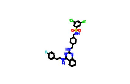 O=S(=O)(NCC1CCC(CNc2nc(NCCc3ccc(F)cc3)c3ccccc3n2)CC1)c1cc(Cl)cc(Cl)c1